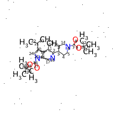 Cc1c(C2CCN(C(=O)OC(C)(C)C)CC2)ncc2c1c(C(C)C)cn2C(=O)OC(C)(C)C